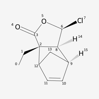 CC[C@@]12C(=O)O[C@@H](Cl)[C@H]1[C@H]1C=CC2C1